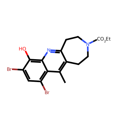 CCOC(=O)N1CCc2nc3c(O)c(Br)cc(Br)c3c(C)c2CC1